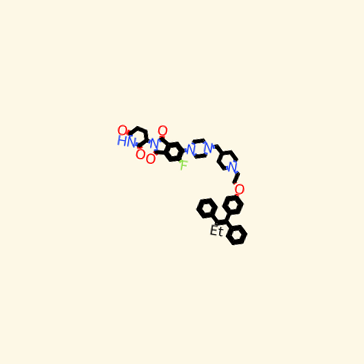 CCC(=C(c1ccccc1)c1ccc(OCCN2CCC(CN3CCN(c4cc5c(cc4F)C(=O)N(C4CCC(=O)NC4=O)C5=O)CC3)CC2)cc1)c1ccccc1